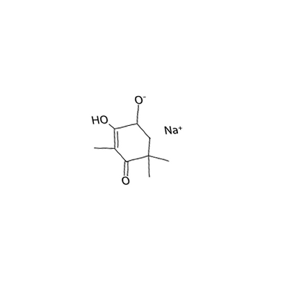 CC1=C(O)C([O-])CC(C)(C)C1=O.[Na+]